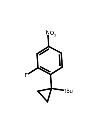 CC(C)(C)C1(c2ccc([N+](=O)[O-])cc2F)CC1